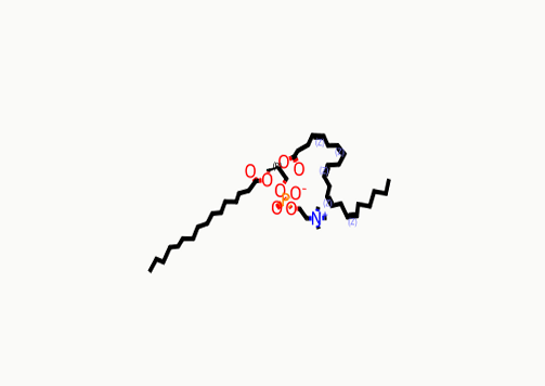 CCCCC/C=C\C/C=C\C/C=C\C/C=C\C/C=C\CCC(=O)O[C@H](COC(=O)CCCCCCCCCCCCCCC)COP(=O)([O-])OCC[N+](C)(C)C